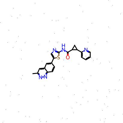 Cc1cc2cc(-c3cnc(NC(=O)C4CC4c4ccccn4)s3)ccc2nn1